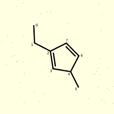 CCC1=CC(C)C=C1